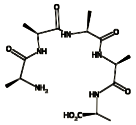 C[C@H](N)C(=O)N[C@@H](C)C(=O)N[C@@H](C)C(=O)N[C@@H](C)C(=O)N[C@@H](C)C(=O)O